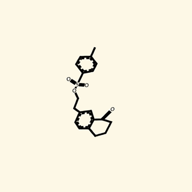 Cc1ccc(S(=O)(=O)OCCc2ccc3c(c2)C(=O)CCC3)cc1